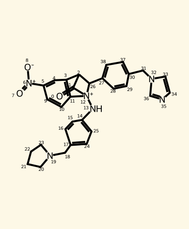 O=C1C2c3cc([N+](=O)[O-])ccc3[N+]1(Nc1ccc(CN3CCCC3)cc1)C2c1ccc(Cn2ccnc2)cc1